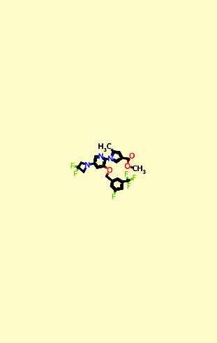 COC(=O)c1cc(C)n(-c2ncc(N3CC(F)(F)C3)cc2OCc2cc(F)cc(C(F)(F)F)c2)c1